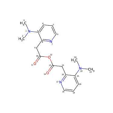 CN(C)c1cccnc1CC(=O)OC(=O)Cc1ncccc1N(C)C